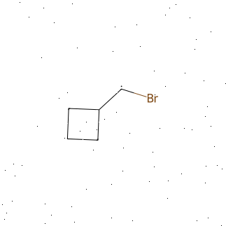 Br[CH]C1CCC1